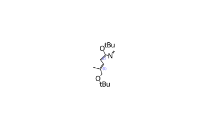 C=N/C(=C\C=C(/C)COC(C)(C)C)OC(C)(C)C